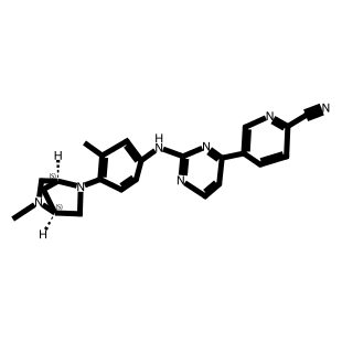 Cc1cc(Nc2nccc(-c3ccc(C#N)nc3)n2)ccc1N1C[C@@H]2C[C@H]1CN2C